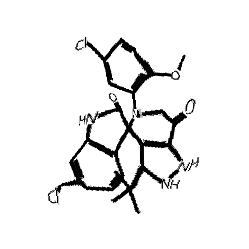 COc1ccc(Cl)cc1N1C(=O)C2=C(C(C(C)(C)C)NN2)C12C(=O)Nc1cc(Cl)ccc12